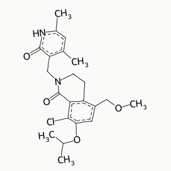 COCc1cc(OC(C)C)c(Cl)c2c1CCN(Cc1c(C)cc(C)[nH]c1=O)C2=O